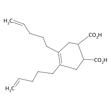 C=CCCCC1=C(CCCC=C)CC(C(=O)O)C(C(=O)O)C1